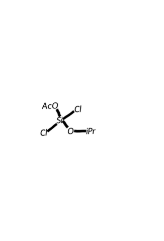 CC(=O)O[Si](Cl)(Cl)OC(C)C